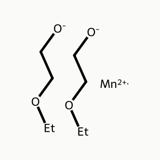 CCOCC[O-].CCOCC[O-].[Mn+2]